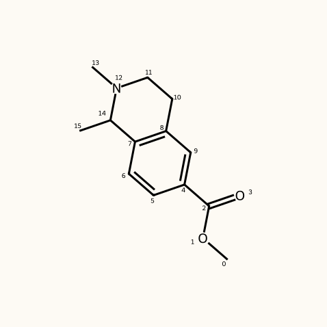 COC(=O)c1ccc2c(c1)CCN(C)C2C